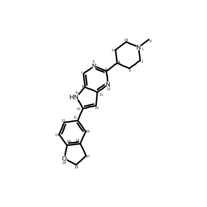 CN1CCC(c2ncc3[nH]c(-c4ccc5c(c4)CCO5)cc3n2)CC1